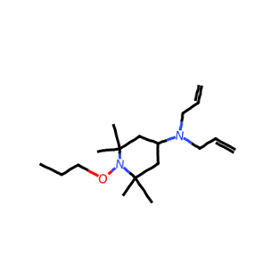 C=CCN(CC=C)C1CC(C)(C)N(OCCC)C(C)(C)C1